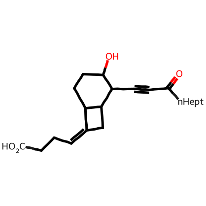 CCCCCCCC(=O)C#CC1C(O)CCC2C(=CCCC(=O)O)CC21